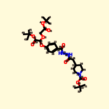 CC(C)(C)OC(=O)COC(Oc1ccc(C(=O)NNC(=O)CC2CCN(C(=O)OC(C)(C)C)CC2)cc1)C(=O)OC(C)(C)C